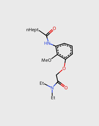 CCCCCCCC(=O)Nc1cccc(OCC(=O)N(CC)CC)c1OC